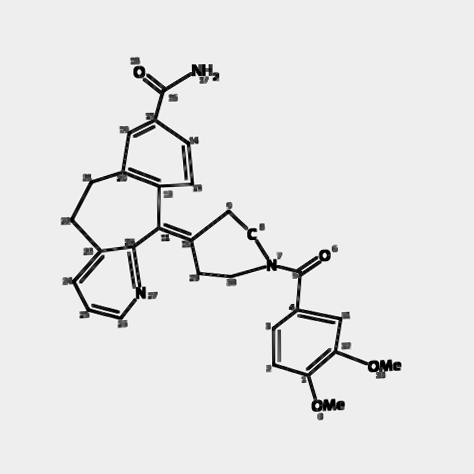 COc1ccc(C(=O)N2CCC(=C3c4ccc(C(N)=O)cc4CCc4cccnc43)CC2)cc1OC